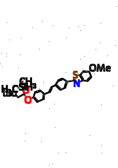 COc1ccc2nc(-c3ccc(/C=C/c4ccc(OC(CC(C)(C)C)O[SiH](C)C)cc4)cc3)sc2c1